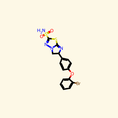 NS(=O)(=O)C1=NN2CC(c3ccc(Oc4ccccc4Br)cc3)N=C2S1